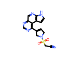 N#CCS(=O)(=O)N1CC=C(c2ncnc3cnc4[nH]ccc4c23)C1